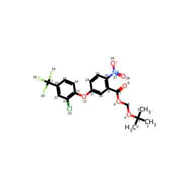 CC(C)(C)OCOC(=O)c1cc(Oc2ccc(C(F)(F)F)cc2Cl)ccc1[N+](=O)[O-]